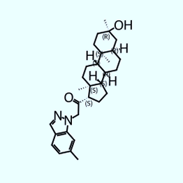 Cc1ccc2cnn(CC(=O)[C@H]3CC[C@H]4[C@@H]5CC[C@@H]6C[C@](C)(O)CC[C@]6(C)[C@H]5CC[C@]34C)c2c1